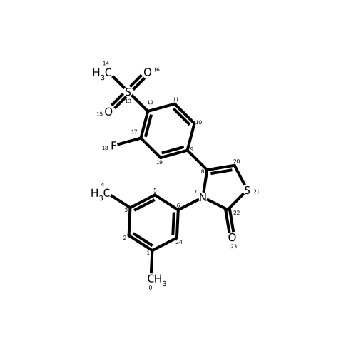 Cc1cc(C)cc(-n2c(-c3ccc(S(C)(=O)=O)c(F)c3)csc2=O)c1